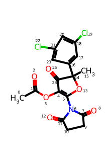 CC(=O)OC1=C(N2C(=O)CCC2=O)OC(C)(c2cc(Cl)cc(Cl)c2)C1=O